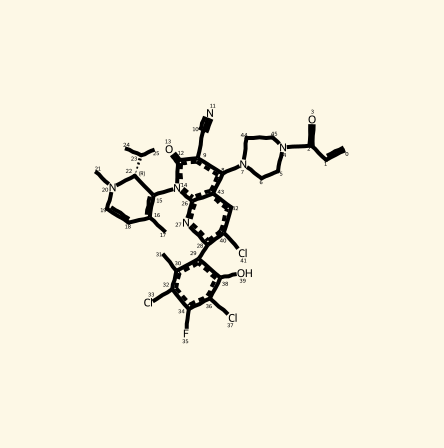 C=CC(=O)N1CCN(c2c(C#N)c(=O)n(C3=C(C)C=CN(C)[C@@H]3C(C)C)c3nc(-c4c(C)c(Cl)c(F)c(Cl)c4O)c(Cl)cc23)CC1